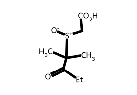 CCC(=O)C(C)(C)[S+]([O-])CC(=O)O